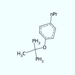 CCCc1ccc(OC(C)(P)P)cc1